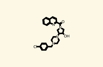 O=C(c1ccc2ccccc2n1)N1CC(O)C(N2CCN(Cc3ccc(Cl)cc3)CC2)C1